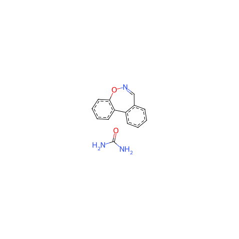 C1=NOc2ccccc2-c2ccccc21.NC(N)=O